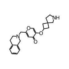 O=c1cc(CN2CCc3ccccc3C2)occ1OC1CC2(CCNC2)C1